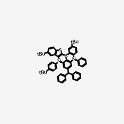 CC(C)(C)c1ccc(N2c3cc(C(c4ccccc4)c4ccccc4)cc4c3B(c3cc(C(C)(C)C)ccc3N4c3ccccc3)c3sc4ccc(C(C)(C)C)cc4c32)cc1